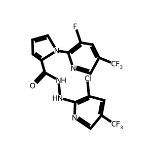 O=C(NNc1ncc(C(F)(F)F)cc1Cl)c1cccn1-c1ncc(C(F)(F)F)cc1F